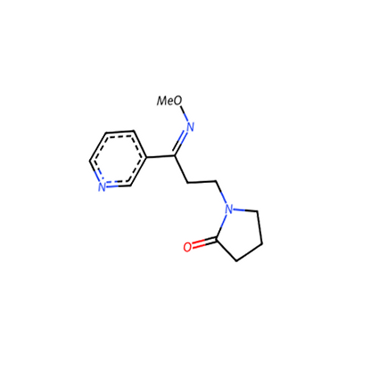 CO/N=C(/CCN1CCCC1=O)c1cccnc1